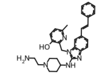 Cc1ccc(O)c(Cn2c(NC3CCN(CCN)CC3)nc3ccc(/C=C/c4ccccc4)cc32)n1